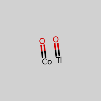 [O]=[Co].[O]=[Tl]